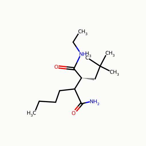 CCCCC(C(N)=O)[C@@H](CC(C)(C)C)C(=O)NCC